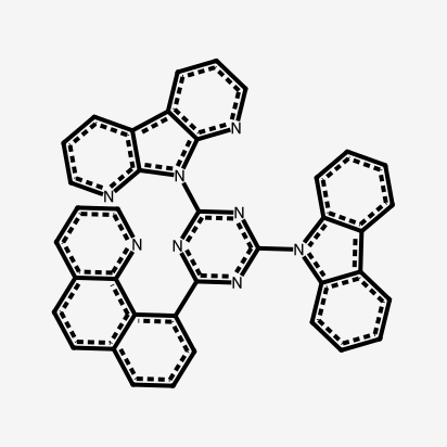 c1cnc2c(c1)ccc1cccc(-c3nc(-n4c5ccccc5c5ccccc54)nc(-n4c5ncccc5c5cccnc54)n3)c12